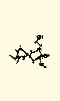 O=c1c([N+](=O)[O-])cc(-c2ccncc2)cn1CCO